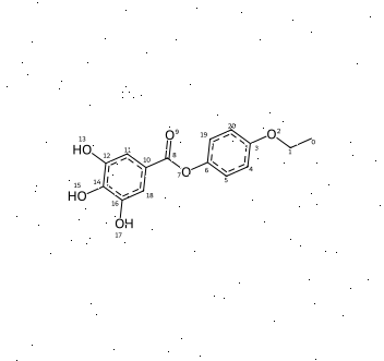 CCOc1ccc(OC(=O)c2cc(O)c(O)c(O)c2)cc1